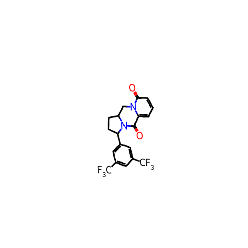 O=C1c2cccc(=O)n2CC2CCC(c3cc(C(F)(F)F)cc(C(F)(F)F)c3)N12